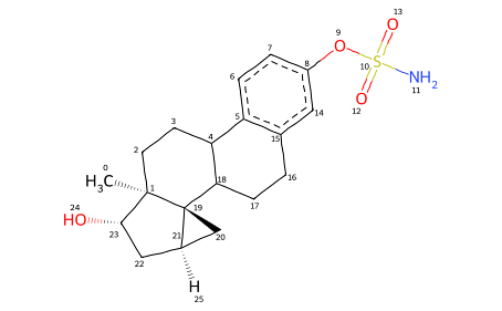 C[C@]12CCC3c4ccc(OS(N)(=O)=O)cc4CCC3[C@@]13C[C@H]3C[C@@H]2O